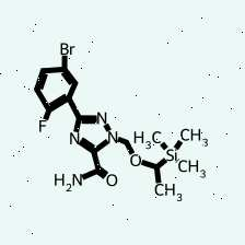 CC(OCn1nc(-c2cc(Br)ccc2F)nc1C(N)=O)[Si](C)(C)C